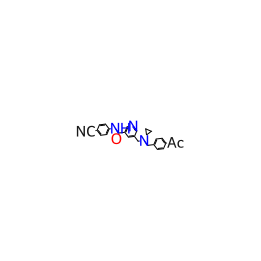 CC(=O)c1ccc(CN(Cc2cncc(C(=O)Nc3ccc(C#N)cc3)c2)C2CC2)cc1